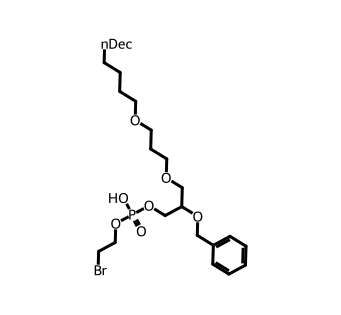 CCCCCCCCCCCCCCOCCCOCC(COP(=O)(O)OCCBr)OCc1ccccc1